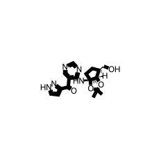 CC1(C)O[C@@H]2[C@@H](CO)CC[C@@]2(Nc2ncncc2C(=O)c2cc[nH]n2)O1